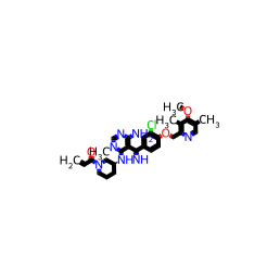 C=CC(=O)N1CCC[C@@H](NC2C(C(=N)c3ccc(OCc4ncc(C)c(OC)c4C)c(Cl)c3)=C(N)N=CN2C)C1